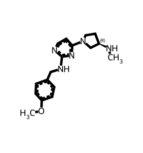 CN[C@@H]1CCN(c2ccnc(NCc3ccc(OC)cc3)n2)C1